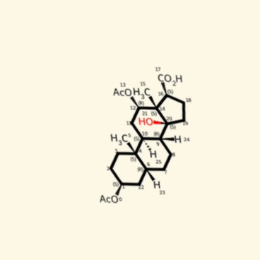 CC(=O)O[C@H]1CC[C@@]2(C)[C@H](CC[C@@H]3[C@@H]2C[C@@H](OC(C)=O)[C@]2(C)[C@@H](C(=O)O)CC[C@]32O)C1